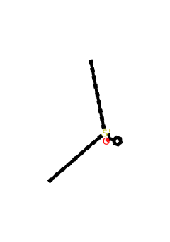 C#CC#CC#CC#CC#CC#CC#CC#CC#C[S+](C#CC#CC#CC#CC#CC#CC#CC#CC#C)CC(=O)c1ccccc1